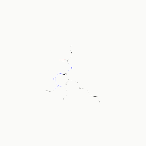 CCCCCCC1=C(CC)N(CC)NN=C1NC(=O)CCC